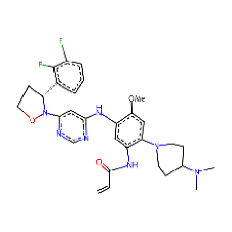 C=CC(=O)Nc1cc(Nc2cc(N3OCC[C@@H]3c3cccc(F)c3F)ncn2)c(OC)cc1N1CCC(N(C)C)CC1